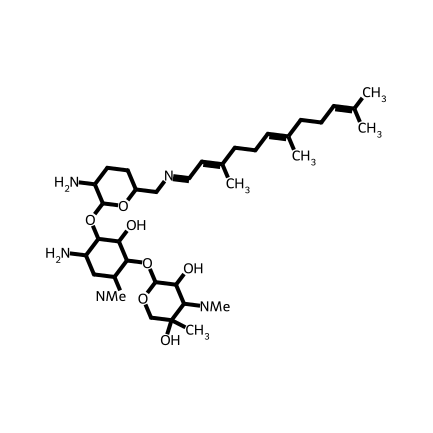 CNC1CC(N)C(OC2OC(C/N=C/C=C(\C)CC/C=C(\C)CCC=C(C)C)CCC2N)C(O)C1OC1OCC(C)(O)C(NC)C1O